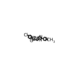 CN1CCC(c2ncc3[nH]c(CS(=O)(=O)c4ccc(Cl)cc4)cc3n2)CC1